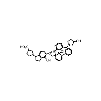 CC1(Cl)C(c2ccccc2)=CC=CC1(COc1ccc2c(c1C#N)CC[C@H]2N1CC[C@@H](C(=O)O)C1)Nc1cc(CN2CC[C@@H](O)C2)ccn1